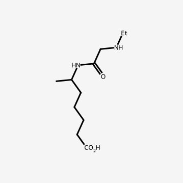 CCNCC(=O)NC(C)CCCCC(=O)O